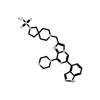 CS(=O)(=O)N1CCC2(CCN(Cc3cn4cc(-c5cccc6[nH]ncc56)nc(N5CCOCC5)c4n3)CC2)C1